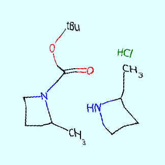 CC1CCN1.CC1CCN1C(=O)OC(C)(C)C.Cl